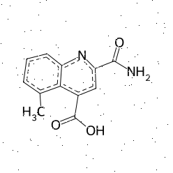 Cc1cccc2nc(C(N)=O)cc(C(=O)O)c12